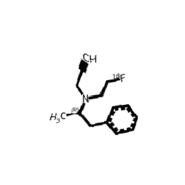 C#CCN(CC[18F])[C@H](C)Cc1ccccc1